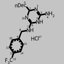 CCCCCCCCCCC1N=C(N)NC(NCc2ccc(C(F)(F)F)cc2)=N1.Cl